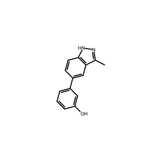 Cc1n[nH]c2ccc(-c3cccc(O)c3)cc12